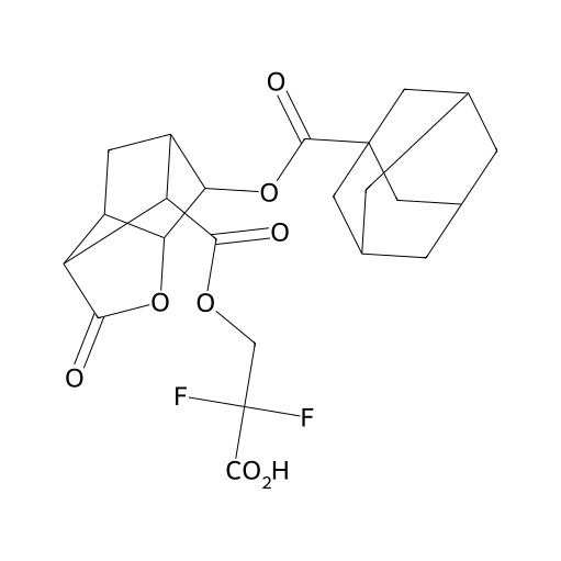 O=C1OC2C3CC(C2OC(=O)C24CC5CC(CC(C5)C2)C4)C(C(=O)OCC(F)(F)C(=O)O)C13